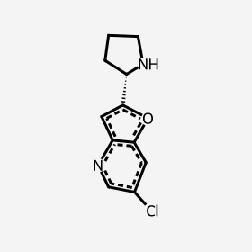 Clc1cnc2cc([C@@H]3CCCN3)oc2c1